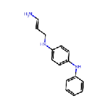 NC=CCNc1ccc(Nc2ccccc2)cc1